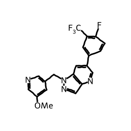 COc1cncc(Cn2ncc3ncc(-c4ccc(F)c(C(F)(F)F)c4)cc32)c1